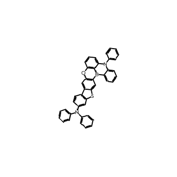 c1ccc(N(c2ccccc2)c2ccc3c(c2)sc2cc4c(cc23)Oc2cccc3c2B4c2ccccc2N3c2ccccc2)cc1